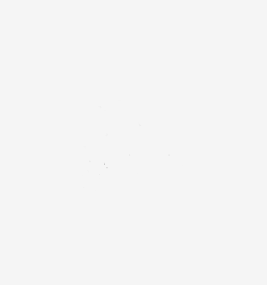 Cc1cccc(-c2ccccc2-c2ccc3c4ccccc4n(-c4ccc(-c5ccccc5)cc4)c3c2)c1